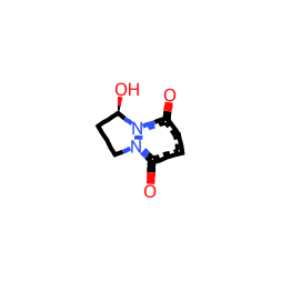 O=c1ccc(=O)n2n1CC[C@H]2O